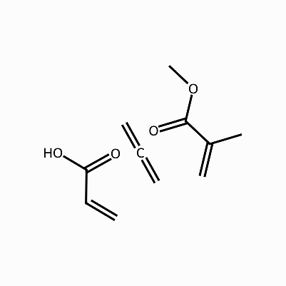 C=C(C)C(=O)OC.C=C=C.C=CC(=O)O